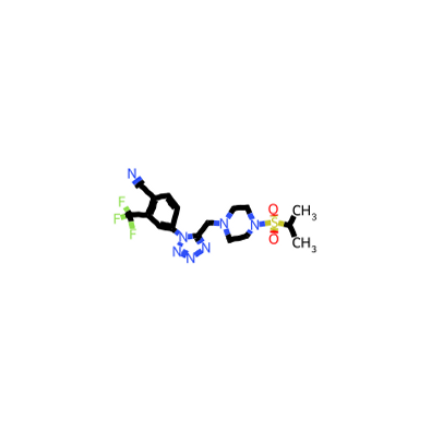 CC(C)S(=O)(=O)N1CCN(Cc2nnnn2-c2ccc(C#N)c(C(F)(F)F)c2)CC1